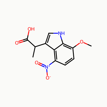 COc1ccc([N+](=O)[O-])c2c(C(C)C(=O)O)c[nH]c12